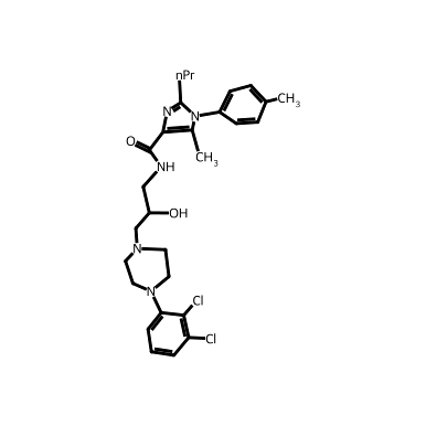 CCCc1nc(C(=O)NCC(O)CN2CCN(c3cccc(Cl)c3Cl)CC2)c(C)n1-c1ccc(C)cc1